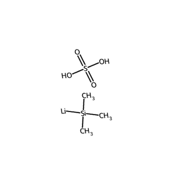 O=S(=O)(O)O.[Li][Si](C)(C)C